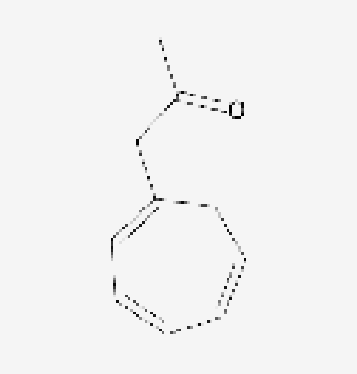 CC(=O)CC1=CC=CC=CC1